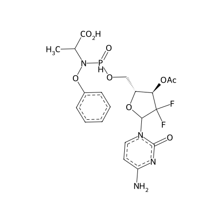 CC(=O)O[C@@H]1[C@@H](CO[PH](=O)N(Oc2ccccc2)C(C)C(=O)O)OC(n2ccc(N)nc2=O)C1(F)F